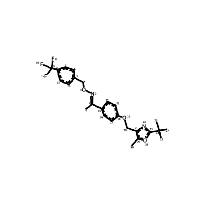 C/C(=N\OCc1ccc(C(F)(F)F)cc1)c1ccc(OCc2nc(C(C)(C)C)oc2C)cc1